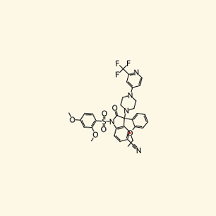 CCOc1ccccc1C1(N2CCN(c3ccnc(C(F)(F)F)c3)CC2)C(=O)N(S(=O)(=O)c2ccc(OC)cc2OC)c2ccc(C#N)cc21